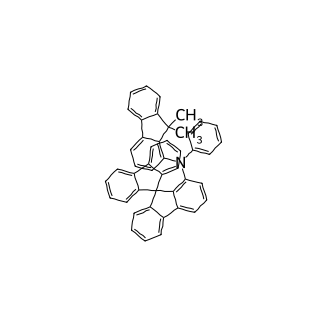 CC1(C)c2ccccc2-c2cccc(N(c3ccccc3)c3cccc4c3C3(c5ccccc5-c5ccccc53)c3ccccc3-4)c21